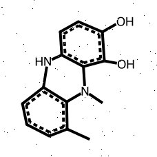 Cc1cccc2c1N(C)c1c(ccc(O)c1O)N2